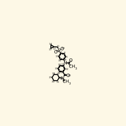 CC(=O)N(c1ccc(S(=O)(=O)CC2CC2)cc1)c1cccc(C(=O)N(C)C2CCCCC2)c1